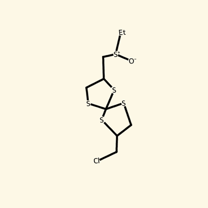 CC[S+]([O-])CC1CSC2(SCC(CCl)S2)S1